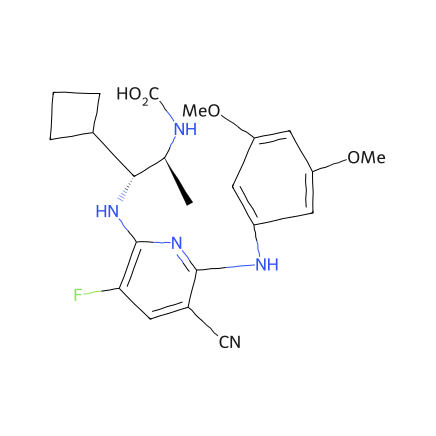 COc1cc(Nc2nc(N[C@H](C3CCC3)[C@H](C)NC(=O)O)c(F)cc2C#N)cc(OC)c1